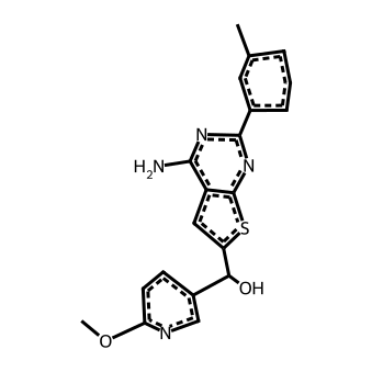 COc1ccc(C(O)c2cc3c(N)nc(-c4cccc(C)c4)nc3s2)cn1